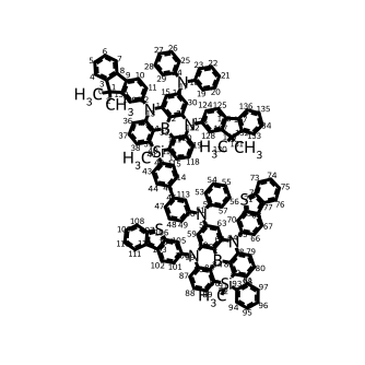 CC1(C)c2ccccc2-c2ccc(N3c4cc(N(c5ccccc5)c5ccccc5)cc5c4B4c6c3cccc6[Si](C)(c3ccc(-c6cccc(N(c7ccccc7)c7cc8c9c(c7)N(c7ccc%10c(c7)sc7ccccc7%10)c7cccc%10c7B9c7c(cccc7[Si]%10(C)c7ccccc7)N8c7ccc8c(c7)sc7ccccc78)c6)cc3)c3cccc(c34)N5c3ccc4c(c3)C(C)(C)c3ccccc3-4)cc21